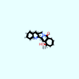 CCC1(O)CC=CCc2c1cc1n(c2=O)Cc2cc3ccccc3nc2-1